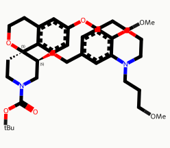 COCCCOc1ccc2c(c1)CCO[C@@]21CCN(C(=O)OC(C)(C)C)C[C@@H]1OCc1ccc2c(c1)N(CCCOC)CCO2